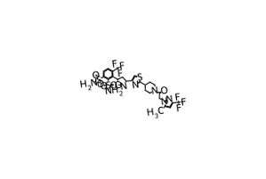 Cc1cc(C(F)(F)F)nn1CC(=O)N1CCC(c2nc(C3=NOC(c4c(C(F)(F)F)ccc(S(N)(=O)=O)c4S(N)(=O)=O)C3)cs2)CC1